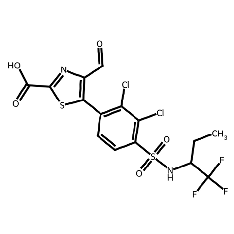 CCC(NS(=O)(=O)c1ccc(-c2sc(C(=O)O)nc2C=O)c(Cl)c1Cl)C(F)(F)F